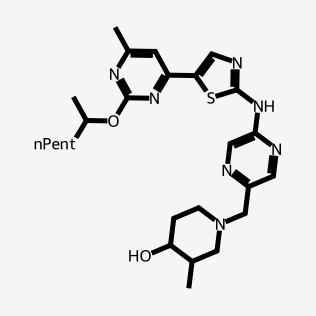 CCCCCC(C)Oc1nc(C)cc(-c2cnc(Nc3cnc(CN4CCC(O)C(C)C4)cn3)s2)n1